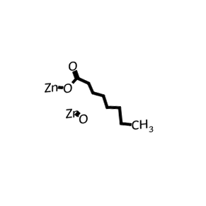 CCCCCCCC(=O)[O][Zn].[O]=[Zn]